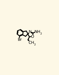 C=CC1OC(N)=NC12Cc1cccc(Br)c1C2